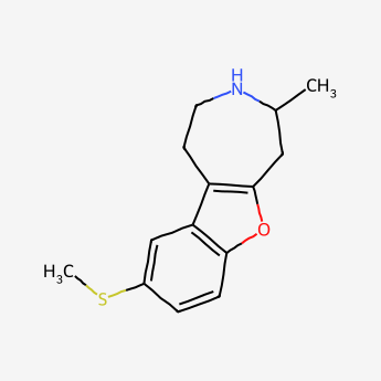 CSc1ccc2oc3c(c2c1)CCNC(C)C3